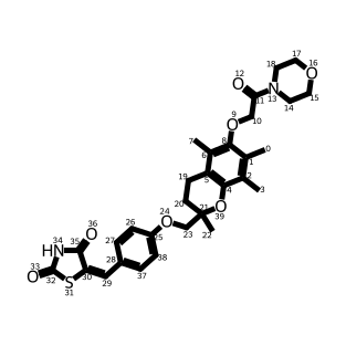 Cc1c(C)c2c(c(C)c1OCC(=O)N1CCOCC1)CCC(C)(COc1ccc(C=C3SC(=O)NC3=O)cc1)O2